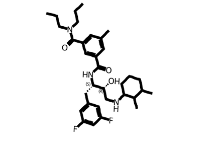 CCCN(CCC)C(=O)c1cc(C)cc(C(=O)N[C@@H](Cc2cc(F)cc(F)c2)[C@H](O)CNC2CCCC(C)C2C)c1